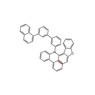 c1ccc(-c2ccccc2N(c2cccc(-c3cccc(-c4cccc5ccccc45)c3)c2)c2cccc3oc4ccccc4c23)cc1